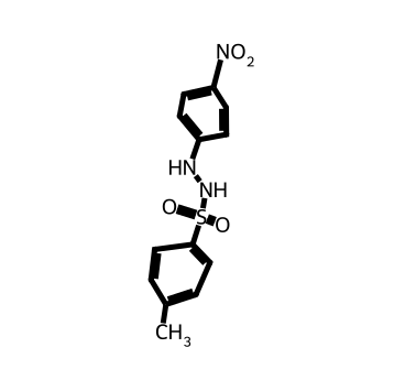 Cc1ccc(S(=O)(=O)NNc2ccc([N+](=O)[O-])cc2)cc1